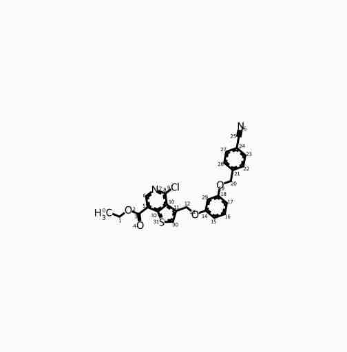 CCOC(=O)c1cnc(Cl)c2c(COc3cccc(OCc4ccc(C#N)cc4)c3)csc12